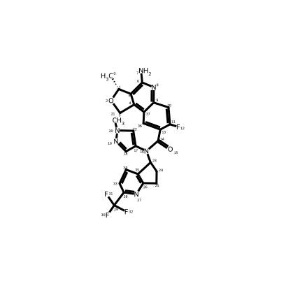 C[C@H]1OCc2c1c(N)nc1cc(F)c(C(=O)N(c3cnn(C)c3)C3CCc4nc(C(F)(F)F)ccc43)cc21